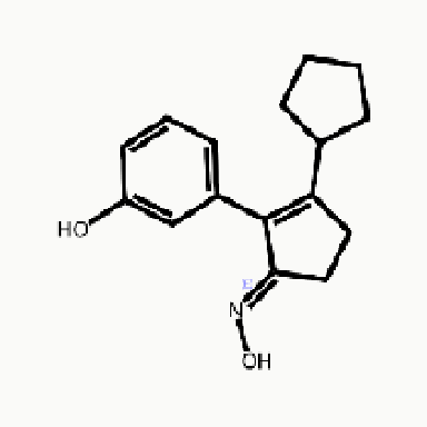 O/N=C1\CCC(C2CCCC2)=C1c1cccc(O)c1